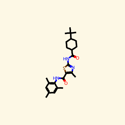 Cc1cc(C)c(NC(=O)c2sc(NC(=O)C3CCC(C(C)(C)C)CC3)nc2C)c(C)c1